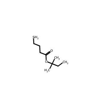 CCC(C)(C)OC(=O)CCC[SiH3]